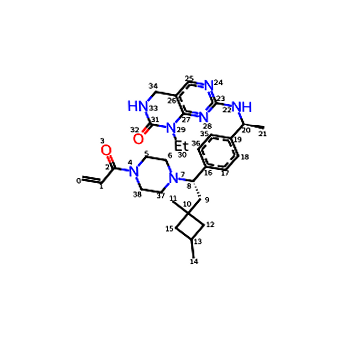 C=CC(=O)N1CCN([C@@H](CC2(C)CC(C)C2)c2ccc([C@H](C)Nc3ncc4c(n3)N(CC)C(=O)NC4)cc2)CC1